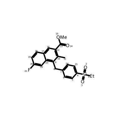 CCS(=O)(=O)c1ccc(Cc2c(C)c(C(=O)OC)cc3ccc(F)cc23)cc1